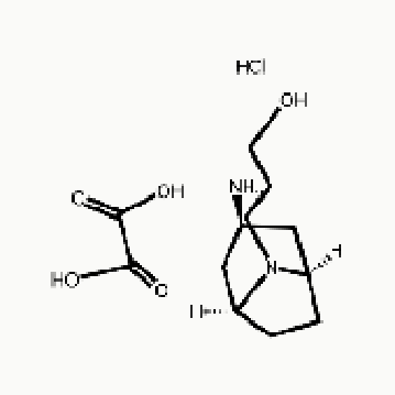 Cl.N[C@H]1C[C@H]2CC[C@@H](C1)N2CCCO.O=C(O)C(=O)O